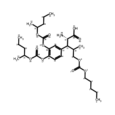 CCCCCOC(=O)OCC(C)C(c1ccc(OC(=O)OC(C)CCC)c(OC(=O)OC(C)CCC)c1)[C@H](N)C(=O)O